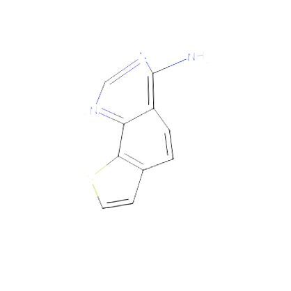 Nc1ncnc2c1ccc1ccsc12